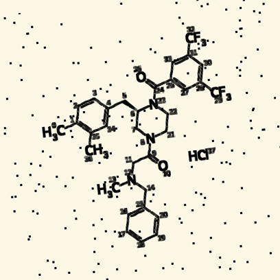 Cc1ccc(C[C@@H]2CN(C(=O)CN(C)Cc3ccccc3)CCN2C(=O)c2cc(C(F)(F)F)cc(C(F)(F)F)c2)cc1C.Cl